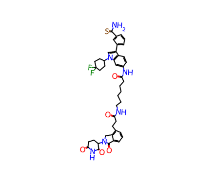 NC(=S)c1cccc(-c2cn(C3CCC(F)(F)CC3)c3cc(NC(=O)CCCCCCNC(=O)CCc4cccc5c4CN(C4CCC(=O)NC4=O)C5=O)ccc23)c1